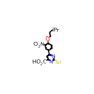 CC(C)CCOc1ccc(-c2cc(C(=O)O)nc(S)n2)cc1[N+](=O)[O-]